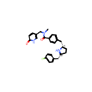 CN(Cc1ccc(=O)[nH]c1)C(=O)c1ccc(C[C@@H]2CC[C@H](Cc3ccc(F)cc3)N2)cc1